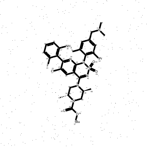 Cc1cc(CN(C)C)cc(C(C)C)c1N1c2nc(-c3c(N)cccc3F)c(Cl)cc2C(N2C[C@@H](C)N(C(=O)OC(C)(C)C)C[C@@H]2C)=NS1(=O)=O